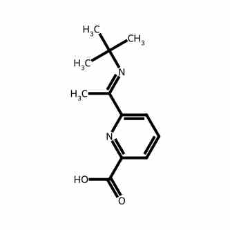 C/C(=N\C(C)(C)C)c1cccc(C(=O)O)n1